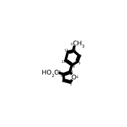 Cc1ccc(-c2occc2C(=O)O)cc1